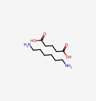 NCCCCCCN.O=C(O)CCCC(=O)O